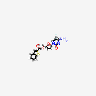 Nc1nc(=O)n([C@H]2CC[C@@H](COC(=O)c3cc4ccccc4s3)O2)cc1F